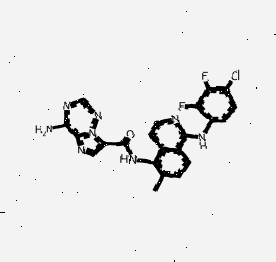 Cc1ccc2c(Nc3ccc(Cl)c(F)c3F)nccc2c1NC(=O)c1cnc2c(N)ncnn12